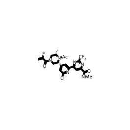 C=C(F)C(=O)N1C[C@H](C)N(C(C)=O)[C@H](c2cc(Cl)nc(-c3cc(C(=O)NC)nc(C(F)(F)F)n3)c2)C1